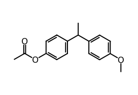 COc1ccc(C(C)c2ccc(OC(C)=O)cc2)cc1